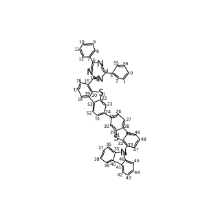 c1ccc(-c2nc(-c3ccccc3)nc(-c3cccc4c3sc3cc(-c5ccc6c(c5)sc5c(-n7c8ccccc8c8ccccc87)cccc56)ccc34)n2)cc1